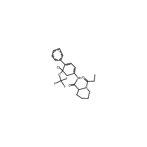 CCC(=O)N1CCCCC1C(=O)NC1=CC=C(c2ccccc2)C(Cl)(OC(F)(F)F)C1